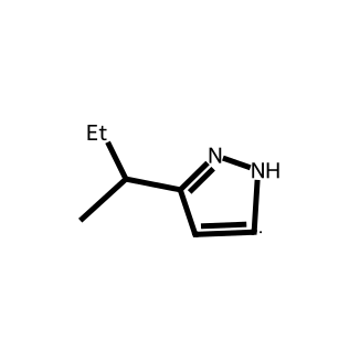 CCC(C)c1c[c][nH]n1